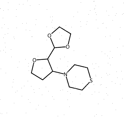 C1CC(N2CCSCC2)[C](C2OCCO2)O1